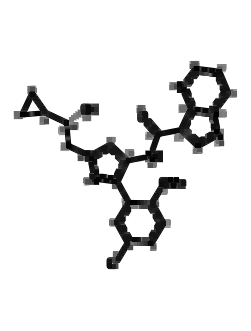 COc1ccc(Cl)cc1-c1nn(C[C@@H](O)C2CC2)cc1NC(=O)c1cnn2cccnc12